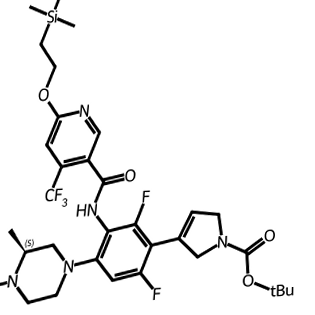 C[C@H]1CN(c2cc(F)c(C3=CCN(C(=O)OC(C)(C)C)C3)c(F)c2NC(=O)c2cnc(OCC[Si](C)(C)C)cc2C(F)(F)F)CCN1C